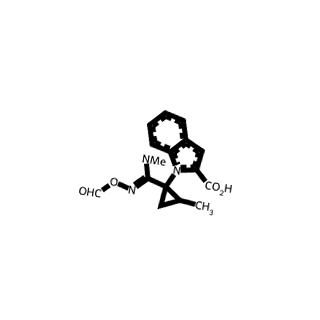 CN/C(=N\OC=O)C1(n2c(C(=O)O)cc3ccccc32)CC1C